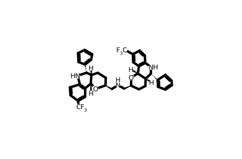 FC(F)(F)c1ccc2c(c1)[C@H]1O[C@H](CNC[C@@H]3CC[C@H]4[C@@H](c5ccccc5)Nc5ccc(C(F)(F)F)cc5[C@H]4O3)CC[C@H]1[C@@H](c1ccccc1)N2